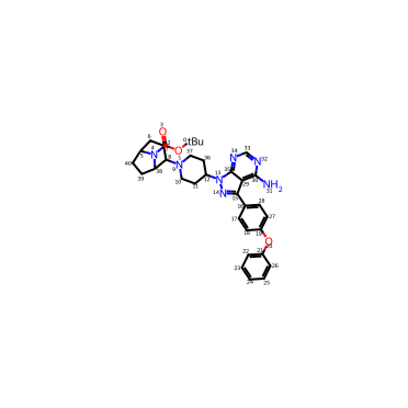 CC(C)(C)OC(=O)N1C2CCC(N3CCC(n4nc(-c5ccc(Oc6ccccc6)cc5)c5c(N)ncnc54)CC3)C1CC2